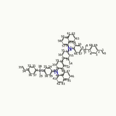 C=Cc1ccc(C(C)(C)c2ccc(N(c3ccc(-c4ccc(N(c5ccc(C(C)(C)c6ccc(C=C)cc6)cc5)c5cccc6ccccc56)cc4C)c(C)c3)c3cccc4ccccc34)cc2)cc1